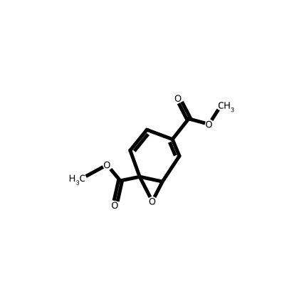 COC(=O)C1=CC2OC2(C(=O)OC)C=C1